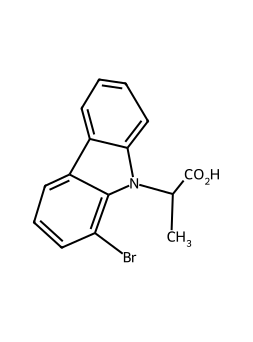 CC(C(=O)O)n1c2ccccc2c2cccc(Br)c21